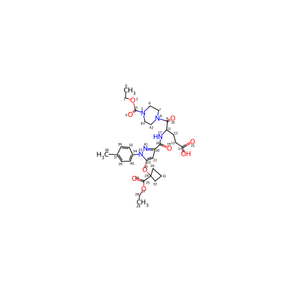 CCOC(=O)N1CCN(C(=O)C(CCC(=O)O)NC(=O)c2cc(OC3(C(=O)OCC)CCC3)n(-c3ccc(C)cc3)n2)CC1